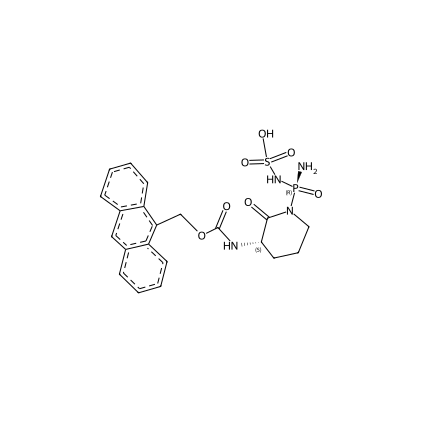 N[P@](=O)(NS(=O)(=O)O)N1CCC[C@H](NC(=O)OCc2c3ccccc3cc3ccccc23)C1=O